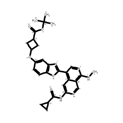 CNc1ncc(-c2nc3cc(OC4CC(C(=O)OC(C)(C)C)C4)ccc3o2)c2cc(NC(=O)C3CC3)ncc12